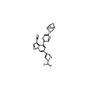 N#Cc1cnn2cc(-c3cnn(C(F)F)c3)cc(-c3cnc(N4CC5CC(C4)N5)cn3)c12